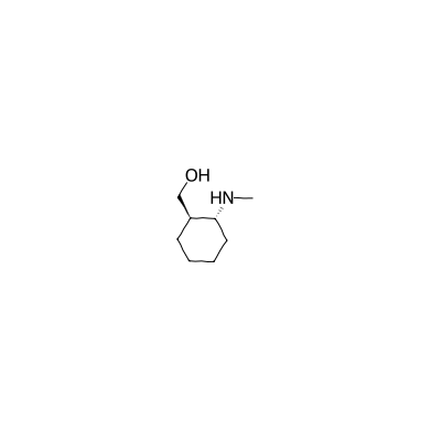 CN[C@@H]1CCCC[C@H]1CO